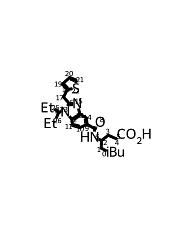 CCC(C)CC(CCC(=O)O)NC(=O)c1ccc2c(c1)nc(Cc1cccs1)n2C(CC)CC